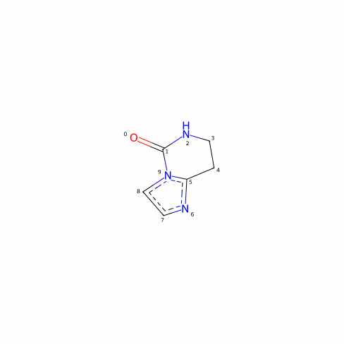 O=C1NCCc2nccn21